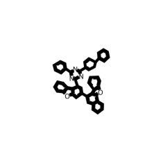 C1=CC(c2ccccc2)CC=C1c1nc(-c2ccccc2)nc(-c2cc(-c3cc4ccccc4c4oc5ccccc5c34)cc3oc4ccccc4c23)n1